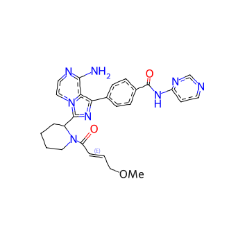 COC/C=C/C(=O)N1CCCCC1c1nc(-c2ccc(C(=O)Nc3ccncn3)cc2)c2c(N)nccn12